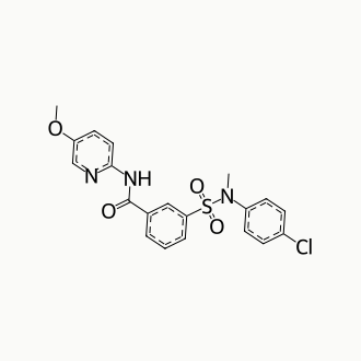 COc1ccc(NC(=O)c2cccc(S(=O)(=O)N(C)c3ccc(Cl)cc3)c2)nc1